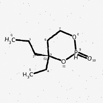 CCC[C@@]1(CC)CCO[PH](=O)O1